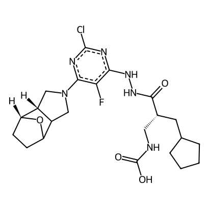 O=C(O)NC[C@@H](CC1CCCC1)C(=O)NNc1nc(Cl)nc(N2CC3C4CC[C@@H](O4)[C@@H]3C2)c1F